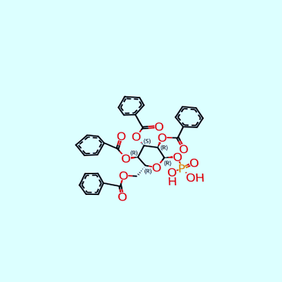 O=C(OC[C@H]1O[C@H](OP(=O)(O)O)[C@H](OC(=O)c2ccccc2)[C@@H](OC(=O)c2ccccc2)[C@@H]1OC(=O)c1ccccc1)c1ccccc1